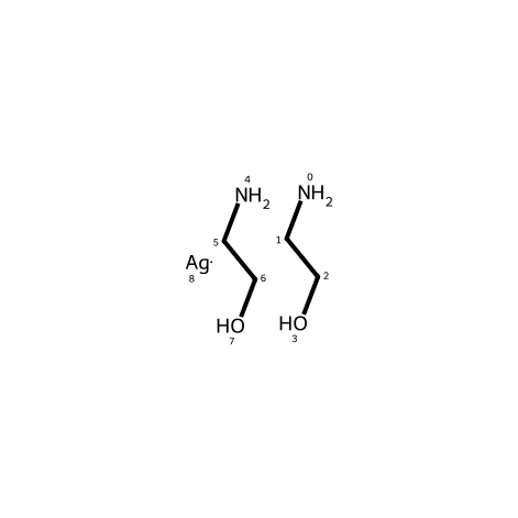 NCCO.NCCO.[Ag]